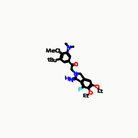 CCOc1cc2c(c(F)c1OCC)C(=N)N(CC(=O)c1cc(N(C)C)c(OC)c(C(C)(C)C)c1)C2